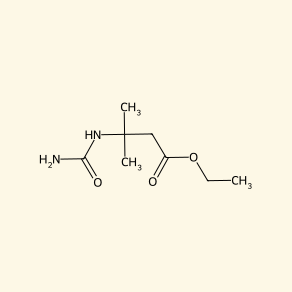 CCOC(=O)CC(C)(C)NC(N)=O